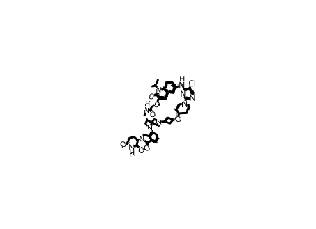 CNC(=O)COc1cc2cc(Nc3nc(N4CCC(OC5CC(N6CC7(CCN7c7cccc8c7CN([C@@H]7CCC(=O)NC7=O)C8=O)C6)C5)CC4)ncc3Cl)ccc2n(C(C)C)c1=O